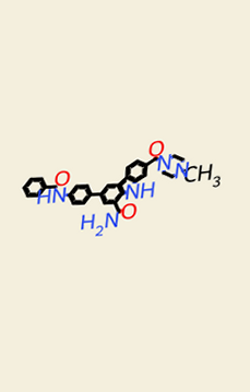 CN1CCN(C(=O)c2ccc3c(c2)[nH]c2c(C(N)=O)cc(-c4ccc(NC(=O)c5ccccc5)cc4)cc23)CC1